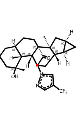 C[C@]12C[C@H]3C[C@H]3[C@@H]1CC[C@@H]1[C@H]3[C@@H](CCC[C@@]3(C)O)CC[C@]12C(=O)Cn1cc(C(F)(F)F)cn1